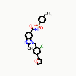 Cc1ccc(S(=O)(=O)NC(=O)c2ccc3nc(C)n(Cc4ccc(-c5ccco5)cc4Cl)c3c2)cc1